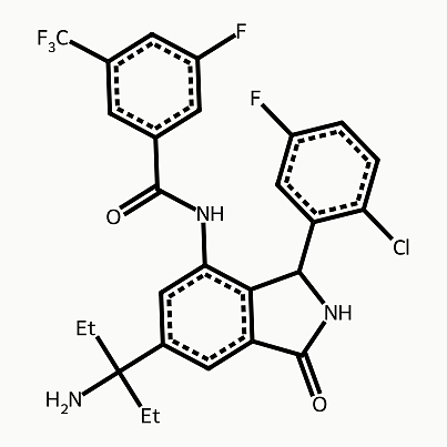 CCC(N)(CC)c1cc(NC(=O)c2cc(F)cc(C(F)(F)F)c2)c2c(c1)C(=O)NC2c1cc(F)ccc1Cl